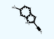 N#Cc1cc2ccc(O)cc2[nH]1